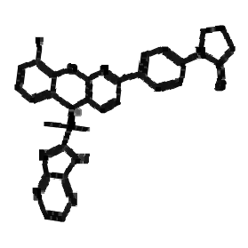 CC(C)(c1nc2nccnc2[nH]1)[C@@H]1c2ccc(-c3ccc(N4CCCC4=O)cc3)nc2Oc2c(F)cccc21